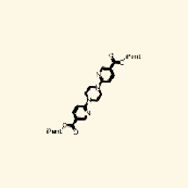 CCC[C@@H](C)OC(=O)c1ccc(N2CCN(c3ccc(C(=O)O[C@H](C)CCC)cn3)CC2)nc1